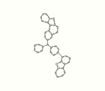 c1ccc(N(c2ccc(-c3cccc4c3oc3ccccc34)cc2)c2ccc3c(ccc4sc5ccccc5c43)c2)cc1